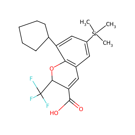 C[Si](C)(C)c1cc2c(c(C3CCCCC3)c1)OC(C(F)(F)F)C(C(=O)O)=C2